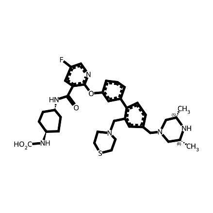 C[C@@H]1CN(Cc2ccc(-c3cccc(Oc4ncc(F)cc4C(=O)N[C@H]4CC[C@H](NC(=O)O)CC4)c3)c(CN3CCSCC3)c2)C[C@H](C)N1